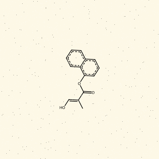 CC(=CO)C(=O)Oc1cccc2ccccc12